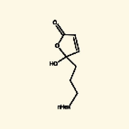 CCCCCCCCCC1(O)C=CC(=O)O1